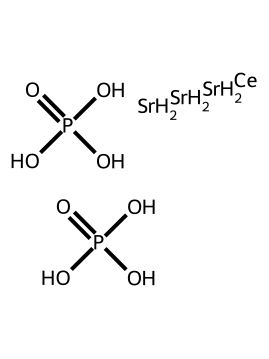 O=P(O)(O)O.O=P(O)(O)O.[Ce].[SrH2].[SrH2].[SrH2]